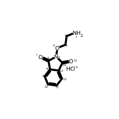 Cl.NCCON1C(=O)c2ccccc2C1=O